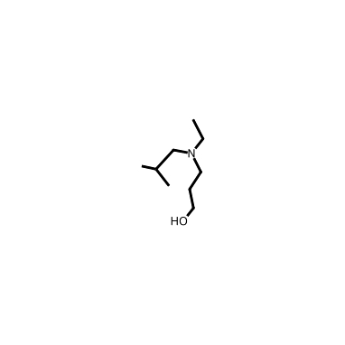 CCN(CCCO)CC(C)C